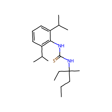 CCCC(C)(CC)NC(=S)Nc1c(C(C)C)cccc1C(C)C